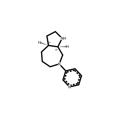 c1cncc(N2CCC[C@H]3CCN[C@H]3C2)c1